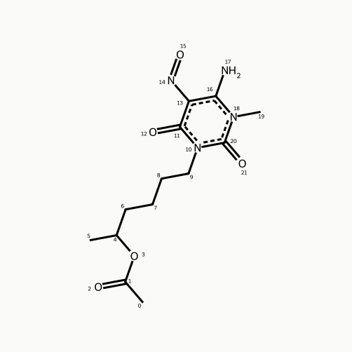 CC(=O)OC(C)CCCCn1c(=O)c(N=O)c(N)n(C)c1=O